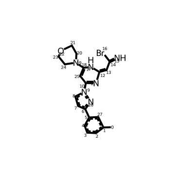 Cc1cccc(-c2ccn(C3=N/C(=C/C(=N)Br)NC(N4CCOCC4)=C3)n2)c1